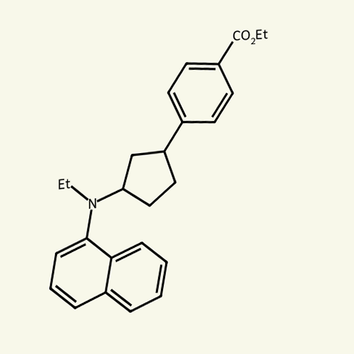 CCOC(=O)c1ccc(C2CCC(N(CC)c3cccc4ccccc34)C2)cc1